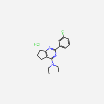 CCN(CC)c1nc(-c2cccc(Cl)c2)nc2c1CCC2.Cl